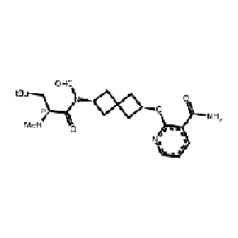 CN[C@@H](CC(C)(C)C)C(=O)N(C=O)[C@H]1CC2(C[C@H](Oc3ncccc3C(N)=O)C2)C1